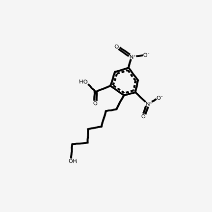 O=C(O)c1cc([N+](=O)[O-])cc([N+](=O)[O-])c1CCCCCCO